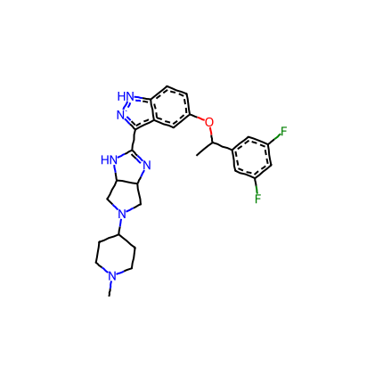 CC(Oc1ccc2[nH]nc(C3=NC4CN(C5CCN(C)CC5)CC4N3)c2c1)c1cc(F)cc(F)c1